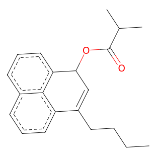 CCCCC1=CC(OC(=O)C(C)C)c2cccc3cccc1c23